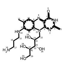 C=c1nc2c(c(=O)[nH]1)=Nc1cc(C)c(NCCCN)cc1N2C[C@H](O)[C@H](O)[C@H](O)CO